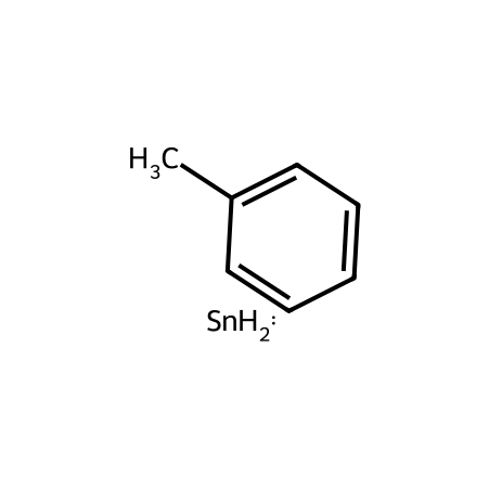 Cc1ccccc1.[SnH2]